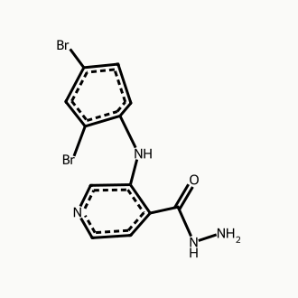 NNC(=O)c1ccncc1Nc1ccc(Br)cc1Br